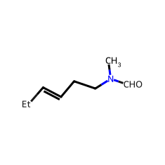 [CH2]CC=CCCN(C)C=O